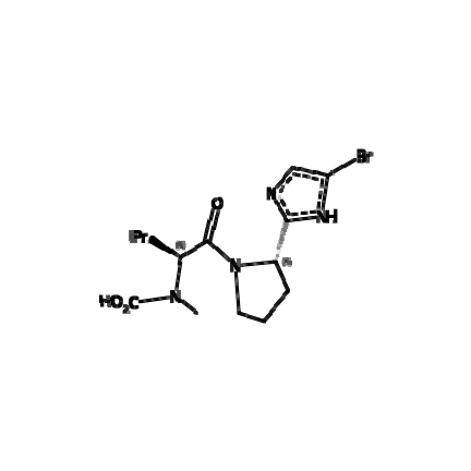 CC(C)[C@@H](C(=O)N1CCC[C@H]1c1ncc(Br)[nH]1)N(C)C(=O)O